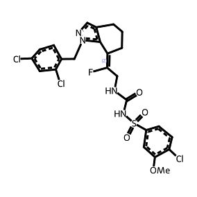 COc1cc(S(=O)(=O)NC(=O)NC/C(F)=C2\CCCc3cnn(Cc4ccc(Cl)cc4Cl)c32)ccc1Cl